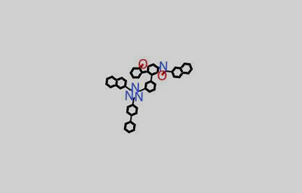 c1ccc(-c2ccc(-c3nc(-c4cccc(-c5c6oc(-c7ccc8ccccc8c7)nc6cc6oc7ccccc7c56)c4)nc(-c4ccc5ccccc5c4)n3)cc2)cc1